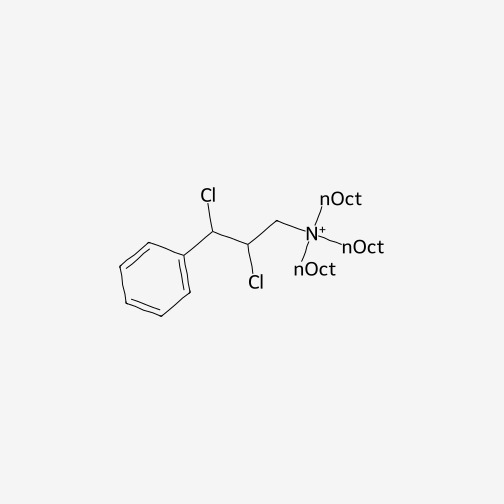 CCCCCCCC[N+](CCCCCCCC)(CCCCCCCC)CC(Cl)C(Cl)c1ccccc1